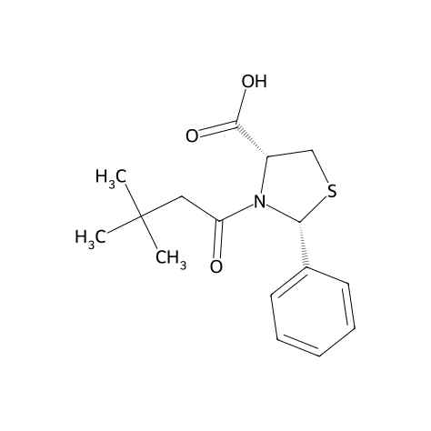 CC(C)(C)CC(=O)N1[C@@H](c2ccccc2)SC[C@H]1C(=O)O